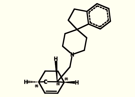 C1=C[C@H]2CC[C@H]1C[C@@H]2CN1CCC2(CCc3ccccc32)CC1